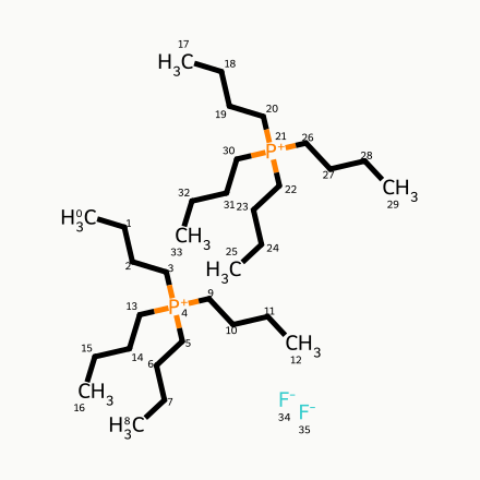 CCCC[P+](CCCC)(CCCC)CCCC.CCCC[P+](CCCC)(CCCC)CCCC.[F-].[F-]